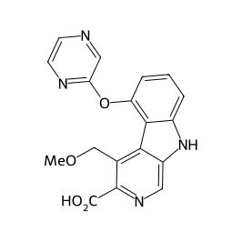 COCc1c(C(=O)O)ncc2[nH]c3cccc(Oc4cnccn4)c3c12